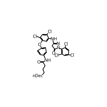 CCCCCCCCCCCCCC(=O)Nc1ccc(Oc2cc(NC3=NN(c4c(Cl)cc(Cl)cc4Cl)C(=O)C3)c(Cl)cc2Cl)cc1